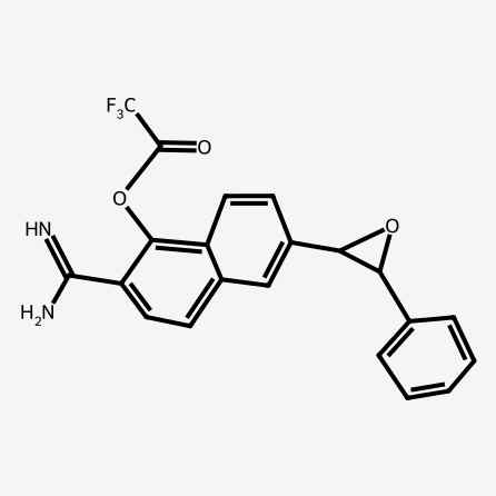 N=C(N)c1ccc2cc(C3OC3c3ccccc3)ccc2c1OC(=O)C(F)(F)F